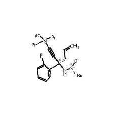 C=CC[C@](C#C[Si](C(C)C)(C(C)C)C(C)C)(N[S@+]([O-])C(C)(C)C)c1ccccc1F